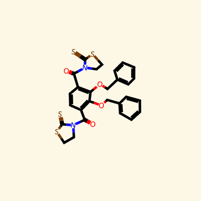 O=C(c1ccc(C(=O)N2CCSC2=S)c(OCc2ccccc2)c1OCc1ccccc1)N1CCSC1=S